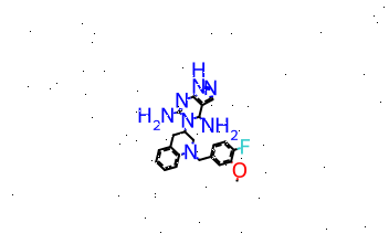 COc1cc(CN2CC(N3C(N)=Nc4[nH]ncc4C3N)Cc3ccccc32)ccc1F